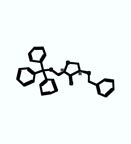 O=C1[C@H](OCc2ccccc2)CO[C@@H]1COC(c1ccccc1)(c1ccccc1)c1ccccc1